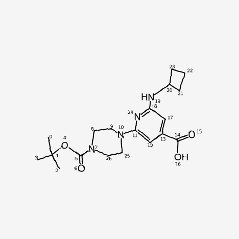 CC(C)(C)OC(=O)N1CCN(c2cc(C(=O)O)cc(NC3CCC3)n2)CC1